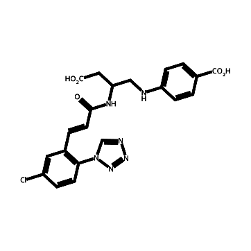 O=C(O)CC(CNc1ccc(C(=O)O)cc1)NC(=O)/C=C/c1cc(Cl)ccc1-n1cnnn1